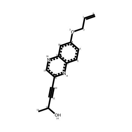 C=CCOc1ccc2nc(C#CC(C)O)cnc2c1